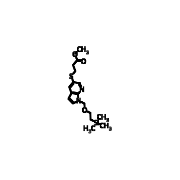 COC(=O)CCSc1cnc2c(ccn2COCC[Si](C)(C)C)c1